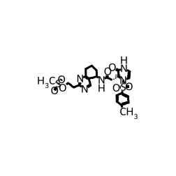 Cc1ccc(S(=O)(=O)N2C=CNC(=O)[C@H]2CC(=O)NC2CCCc3nc(CCOS(C)(=O)=O)ncc32)cc1